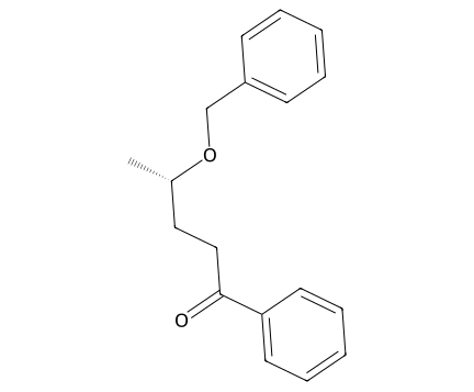 C[C@@H](CCC(=O)c1ccccc1)OCc1ccccc1